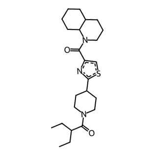 CCC(CC)C(=O)N1CCC(c2nc(C(=O)N3CCCC4CCCCC43)cs2)CC1